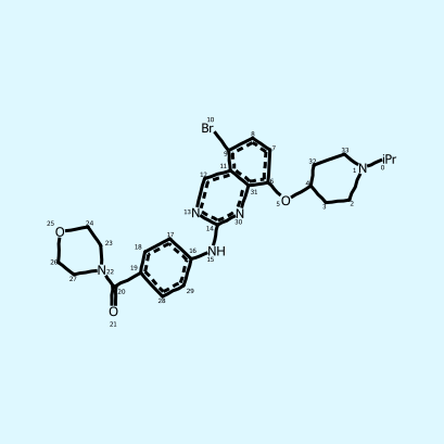 CC(C)N1CCC(Oc2ccc(Br)c3cnc(Nc4ccc(C(=O)N5CCOCC5)cc4)nc23)CC1